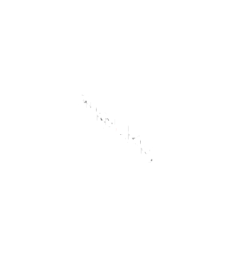 CC(C)(C)OC(=O)NCc1ccc(NC(=O)C23CCC(C(=O)Nc4ccc(C5=CCN(C(=O)OC(C)(C)C)CC5)nn4)(CC2)CC3)cc1